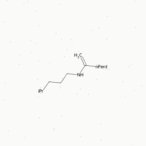 C=C(CCCCC)NCCCC(C)C